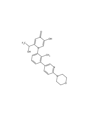 Cc1c(-c2ccc(N3CCOCC3)nc2)cccc1-n1cc(O)c(=O)cc1C(O)C(F)(F)F